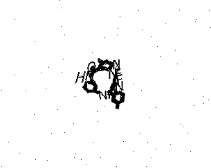 Cc1ccc2nc3cc(c2c1)NC1CCC(CC1)NC(=O)c1cc2c(cc1C)ncn2C3(F)F